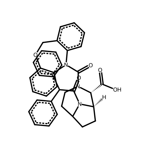 O=C(O)[C@@H]1[C@H]2CCC(CCN1C(=O)N1c3ccccc3COc3ccccc31)N2C(=O)C(c1ccccc1)c1ccccc1